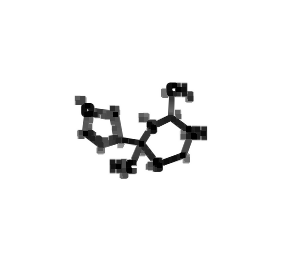 CC1NCSC(C)(c2ccoc2)S1